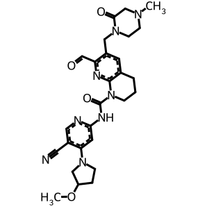 COC1CCN(c2cc(NC(=O)N3CCCc4cc(CN5CCN(C)CC5=O)c(C=O)nc43)ncc2C#N)C1